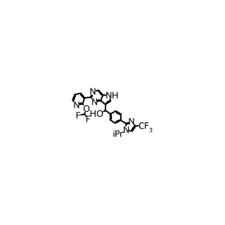 CC(C)n1cc(C(F)(F)F)nc1-c1ccc(C(O)c2c[nH]c3cnc(-c4cccnc4OC(F)F)nc23)cc1